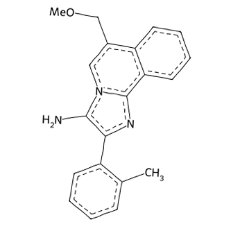 COCc1cn2c(N)c(-c3ccccc3C)nc2c2ccccc12